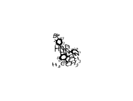 CC(C)(C)c1ccccc1Oc1ncccc1NC(=O)Nc1ccc(Br)cc1